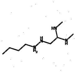 CCCC[SiH2]NCC(NC)NC